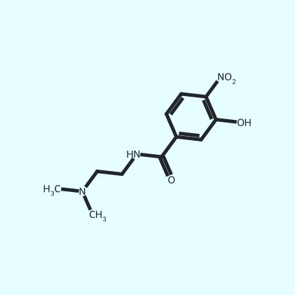 CN(C)CCNC(=O)c1ccc([N+](=O)[O-])c(O)c1